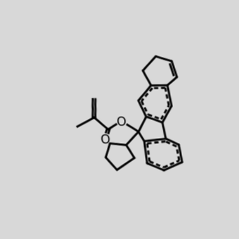 C=C(C)C(=O)OC1(C2CCCC2)c2ccccc2-c2cc3c(cc21)CCC=C3